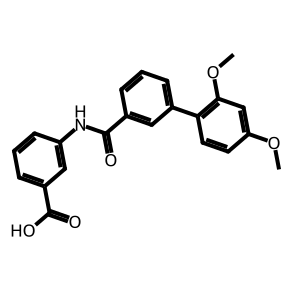 COc1ccc(-c2cccc(C(=O)Nc3cccc(C(=O)O)c3)c2)c(OC)c1